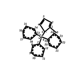 CC1=CC=C[C]1[Si](c1ccccc1)(c1ccccc1)c1ccccc1